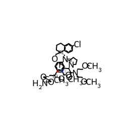 COCCN(CCOC)C(=O)C(/C(F)=C/C[C@H](C)CS(N)(=O)=O)N1CCC[C@H]1N1C[C@@]2(CCCc3cc(Cl)ccc32)COc2ccc(C(=O)OC)cc21